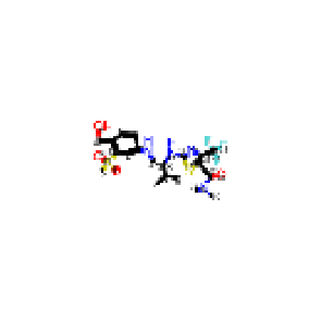 CC(C)[C@H](CNc1ccc(CO)c(S(C)(=O)=O)c1)Nc1nc(C(F)(F)F)c(C(=O)N(C)C)s1